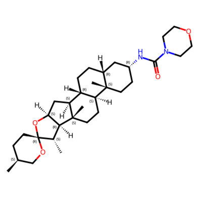 C[C@H]1CC[C@@]2(OC1)O[C@H]1C[C@H]3[C@@H]4CC[C@@H]5C[C@H](NC(=O)N6CCOCC6)CC[C@]5(C)[C@H]4CC[C@]3(C)[C@H]1[C@@H]2C